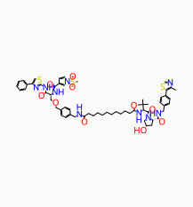 Cc1ncsc1-c1ccc(CNC(=O)[C@@H]2C[C@@H](O)CN2C(=O)[C@@H](NC(=O)CCCCCCCCCCC(=O)NCc2ccc(COC[C@H](NC(=O)c3ccn(S(C)(=O)=O)c3)C(=O)Nc3nc(-c4ccccc4)cs3)cc2)C(C)(C)C)cc1